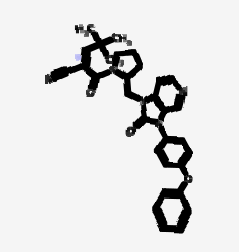 CC(C)(C)/C=C(/C#N)C(=O)N1CCCC1Cn1c(=O)n(-c2ccc(Oc3ccccc3)cc2)c2cnccc21